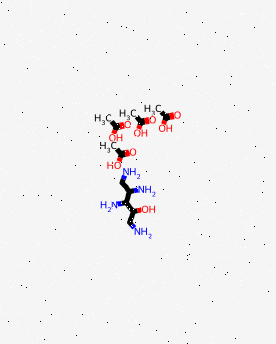 CC(=O)O.CC(=O)O.CC(=O)O.CC(=O)O.NCC(N)C(N)C(O)CN